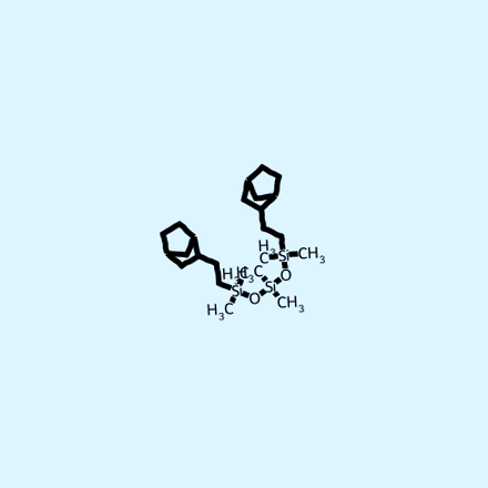 C[Si](C)(CCC1CC2CCC1C2)O[Si](C)(C)O[Si](C)(C)CCC1CC2CCC1C2